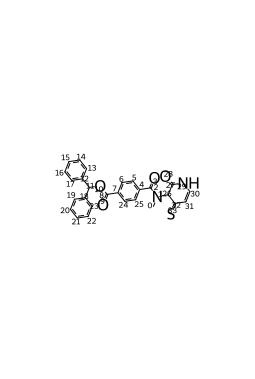 CN(C(=O)c1ccc(C(=O)OC(c2ccccc2)c2ccccc2)cc1)C1C(=O)NC=CC1=S